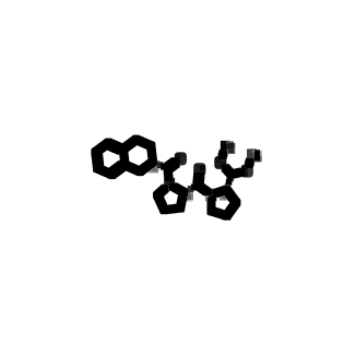 CCOC(OCC)[C@@H]1CCCN1C(=O)[C@@H]1CCCN1C(=O)[C@H]1CCc2ccccc2C1